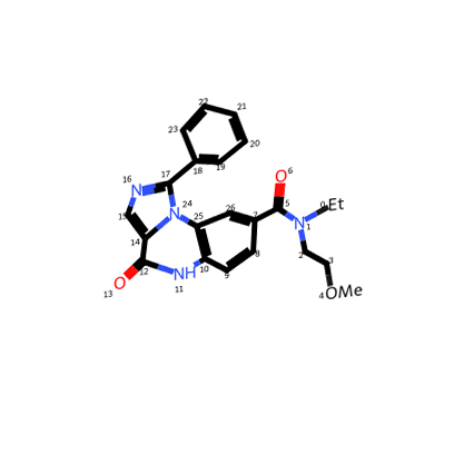 CCN(CCOC)C(=O)c1ccc2[nH]c(=O)c3cnc(-c4ccccc4)n3c2c1